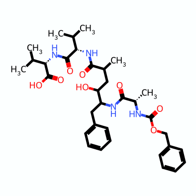 CC(CC(O)C(Cc1ccccc1)NC(=O)[C@H](C)NC(=O)OCc1ccccc1)C(=O)N[C@H](C(=O)N[C@H](C(=O)O)C(C)C)C(C)C